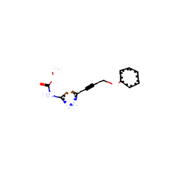 CC(C)(C)OC(=O)Nc1nnc(C#CCOc2ccccc2)s1